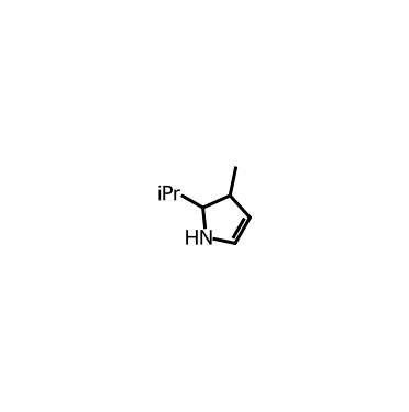 CC(C)C1NC=CC1C